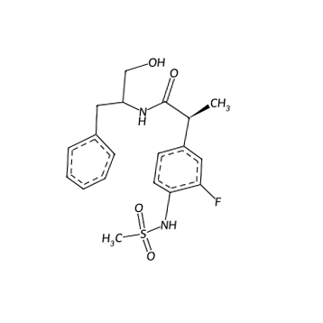 C[C@H](C(=O)NC(CO)Cc1ccccc1)c1ccc(NS(C)(=O)=O)c(F)c1